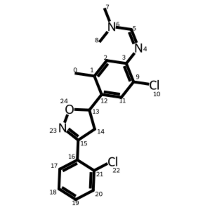 Cc1cc(/N=C\N(C)C)c(Cl)cc1C1CC(c2ccccc2Cl)=NO1